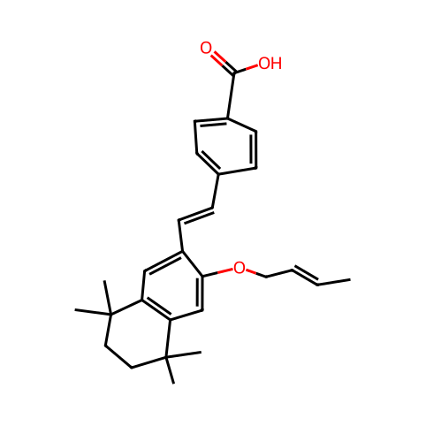 CC=CCOc1cc2c(cc1C=Cc1ccc(C(=O)O)cc1)C(C)(C)CCC2(C)C